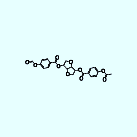 CC(=O)Oc1ccc(C(=O)OC2COC3C(OC(=O)c4ccc(OC=O)cc4)COC23)cc1